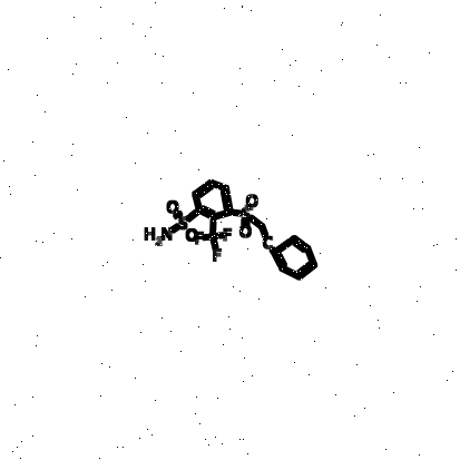 NS(=O)(=O)c1cccc(S(=O)(=O)CCc2ccccc2)c1C(F)(F)F